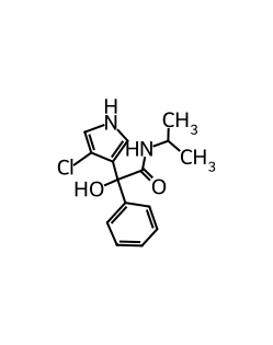 CC(C)NC(=O)C(O)(c1ccccc1)c1c[nH]cc1Cl